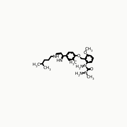 COc1cccc(N(N)C(=O)N(C)N)c1COc1ccc(C(=N)/C=C\NCCCC(C)C)cc1C